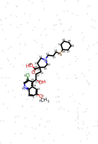 COc1ccc2ncc(Cl)c([C@H](O)CCC3(C(=O)O)CCN(CCCSC4CCCCC4)CC3)c2c1